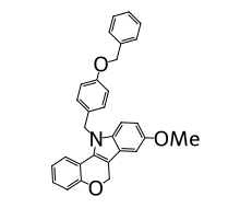 COc1ccc2c(c1)c1c(n2Cc2ccc(OCc3ccccc3)cc2)-c2ccccc2OC1